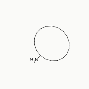 NC1CCCCCCCCCCCCCCCCC1